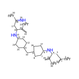 C=C(CCC)C[C@@H](NC1CCC(CC2CCC(NC(CC(=N)CCC)C(=C)CCC)CC2)CC1)C(=C)CCC